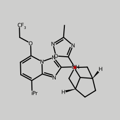 Cc1noc(N2C[C@H]3CC[C@@H](C2)C3Nc2nc3c(C(C)C)ccc(OCC(F)(F)F)n3n2)n1